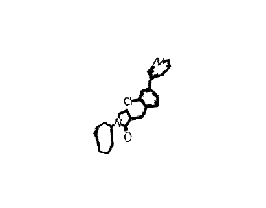 O=C1C(Cc2ccc(-c3cccnc3)cc2Cl)CCN1C1CCCCC1